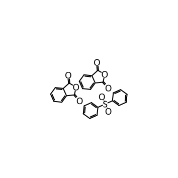 O=C1OC(=O)c2ccccc21.O=C1OC(=O)c2ccccc21.O=S(=O)(c1ccccc1)c1ccccc1